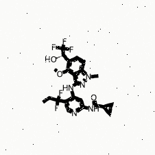 CCC(F)(F)c1cnc(NC(=O)C2CC2)cc1Nc1nn(C)c2ccc([C@H](O)C(F)(F)F)c(OC)c12